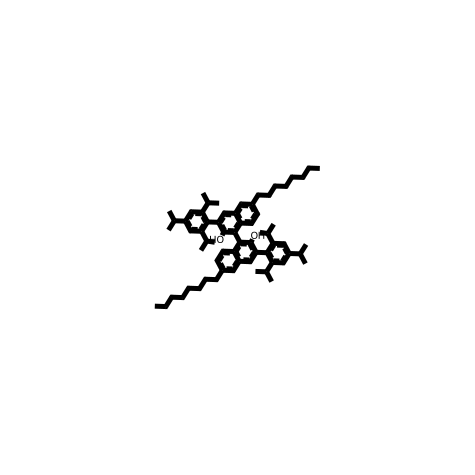 CCCCCCCCc1ccc2c(-c3c(O)c(-c4c(C(C)C)cc(C(C)C)cc4C(C)C)cc4cc(CCCCCCCC)ccc34)c(O)c(-c3c(C(C)C)cc(C(C)C)cc3C(C)C)cc2c1